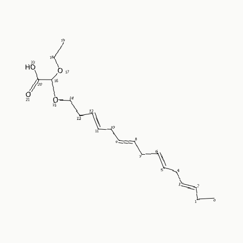 CCC=CCC=CCC=CCC=CCCOC(OCC)C(=O)O